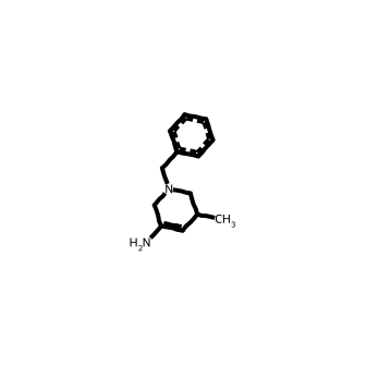 CC1C=C(N)CN(Cc2ccccc2)C1